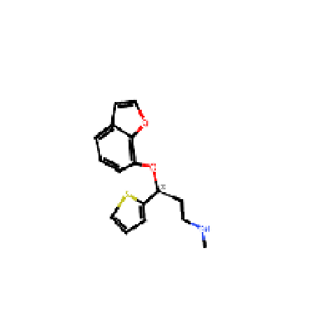 CNCC[C@H](Oc1cccc2ccoc12)c1cccs1